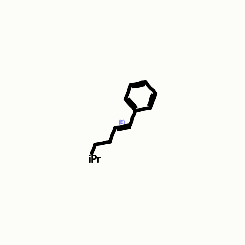 CC(C)CC/C=C/c1ccccc1